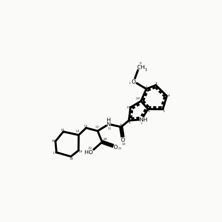 COc1cccc2[nH]c(C(=O)NC(CC3CCCCC3)C(=O)O)cc12